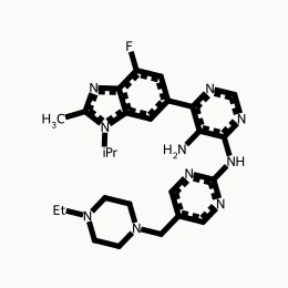 CCN1CCN(Cc2cnc(Nc3ncnc(-c4cc(F)c5nc(C)n(C(C)C)c5c4)c3N)nc2)CC1